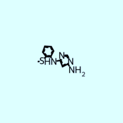 CSc1ccccc1Nc1cc(N)ncn1